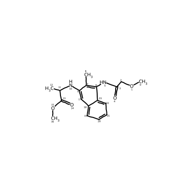 COCC(=O)Nc1c(C)c(NC(C)C(=O)OC)cc2ccccc12